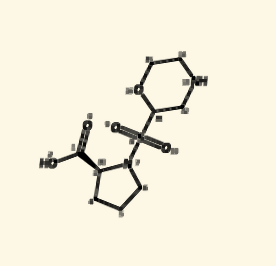 O=C(O)[C@@H]1CCCN1S(=O)(=O)C1CNCCO1